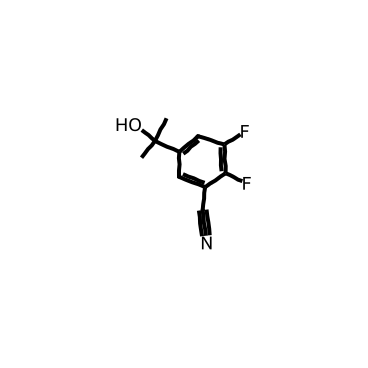 CC(C)(O)c1cc(F)c(F)c(C#N)c1